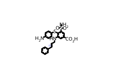 Nc1ccc(Sc2c(NC/C=C/c3ccccc3)cc(C(=O)O)cc2S(N)(=O)=O)cc1